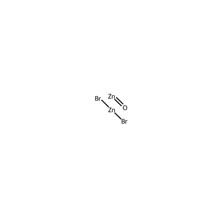 [Br][Zn][Br].[O]=[Zn]